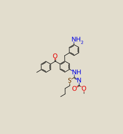 CCCCSC(=NC(=O)OC)Nc1ccc(C(=O)c2ccc(C)cc2)c(Cc2cccc(N)c2)c1